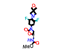 COC(=O)NC[C@H]1CN(c2cc(F)c(N3CC4(COC4)C3)c(F)c2)C(=O)O1